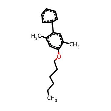 CCCCCCOc1cc(C)c(-c2ccccc2)cc1C